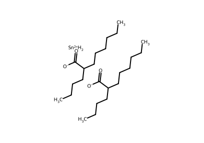 CCCCCCC(CCCC)C(=O)[O-].CCCCCCC(CCCC)C(=O)[O-].[SnH2+2]